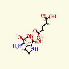 NCC(=O)O.O=C(O)CCCC(=O)O.O=C(O)[C@@H]1CCCN1